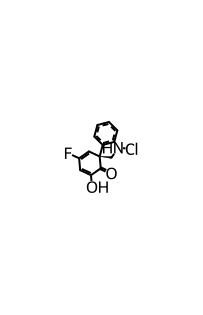 O=C1C(O)=CC(F)=C[C@]1(CNCl)c1ccccc1